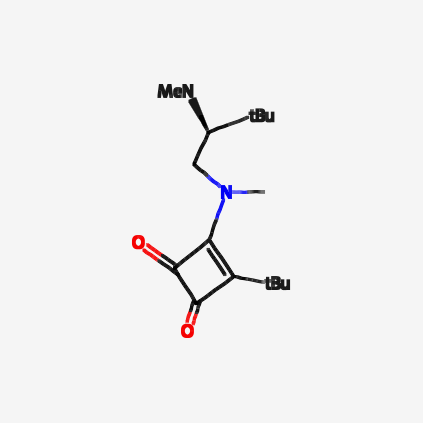 CN[C@H](CN(C)c1c(C(C)(C)C)c(=O)c1=O)C(C)(C)C